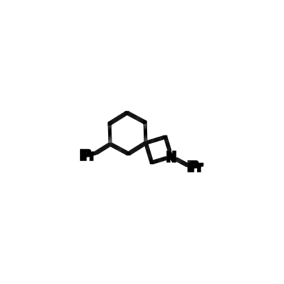 CC(C)C1CCCC2(C1)CN(C(C)C)C2